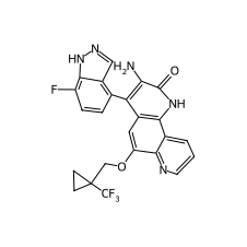 Nc1c(-c2ccc(F)c3[nH]ncc23)c2cc(OCC3(C(F)(F)F)CC3)c3ncccc3c2[nH]c1=O